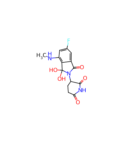 CNc1cc(F)cc2c1C(O)(O)N(C1CCC(=O)NC1=O)C2=O